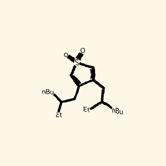 CCCCC(CC)CC1=CS(=O)(=O)C=C1CC(CC)CCCC